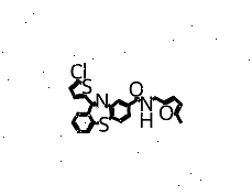 Cc1ccc(CNC(=O)c2ccc3c(c2)N=C(c2ccc(Cl)s2)c2ccccc2S3)o1